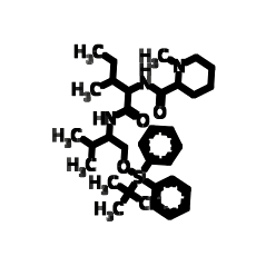 CCC(C)C(NC(=O)C1CCCCN1C)C(=O)NC(CO[Si](c1ccccc1)(c1ccccc1)C(C)(C)C)C(C)C